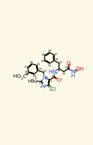 CCCCc1nc(Cl)c(C(=O)NC(CC(=O)NO)Cc2ccccc2)n1Cc1cccc(C(=O)O)c1